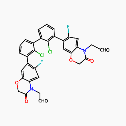 O=CCN1C(=O)COc2cc(-c3cccc(-c4cccc(-c5cc6c(cc5F)N(CC=O)C(=O)CO6)c4Cl)c3Cl)c(F)cc21